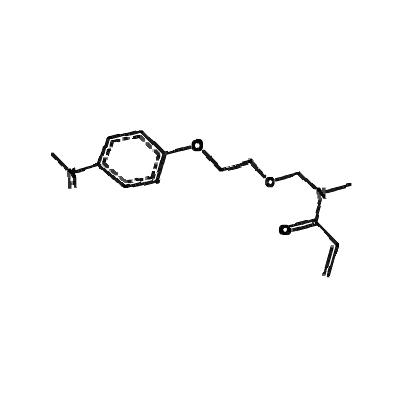 C=CC(=O)N(C)COCCOc1ccc(NC)cc1